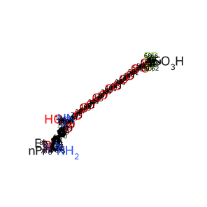 C=C(C1=Cc2ccc(-c3ccc(C(=O)N4C[C@@H](O)C[C@H]4C(=O)NCCOCCOCCOCCOCCOCCOCCOCCOCCOCCOCCC(=O)Oc4c(F)c(F)c(S(=O)(=O)O)c(F)c4F)cc3)cc2N=C(N)C1)N(CCC)OCC